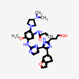 C=CC(=O)Nc1cc(Nc2nccc(-c3[nH]c(CCCO)nc3-c3ccc4ccoc4c3)n2)c(OC)cc1N1CC[C@H](N(C)C)C1